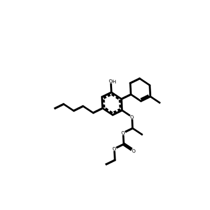 CCCCCc1cc(O)c(C2C=C(C)CCC2)c(OC(C)OC(=O)OCC)c1